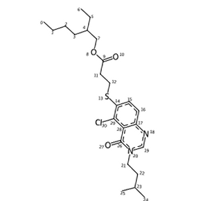 CCCCC(CC)COC(=O)CCSc1ccc2ncn(CCC(C)C)c(=O)c2c1Cl